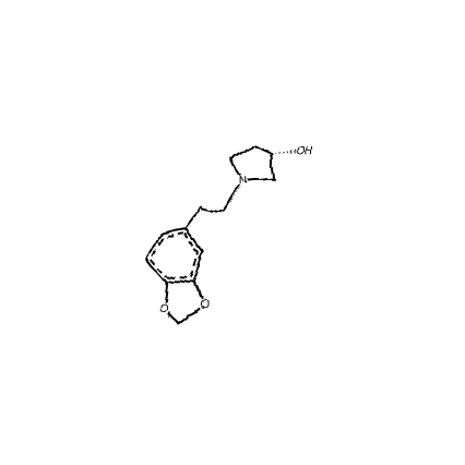 O[C@H]1CCN(CCc2ccc3c(c2)OCO3)C1